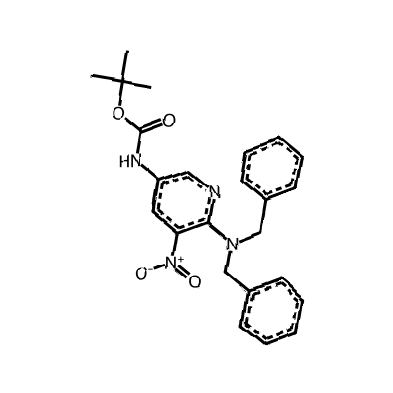 CC(C)(C)OC(=O)Nc1cnc(N(Cc2ccccc2)Cc2ccccc2)c([N+](=O)[O-])c1